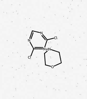 C1COCCN1.Clc1ncnc(Cl)n1